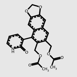 CC(=O)OCc1cc2cc3c(cc2c(-c2ccc[nH]c2=O)c1COC(C)=O)OCO3